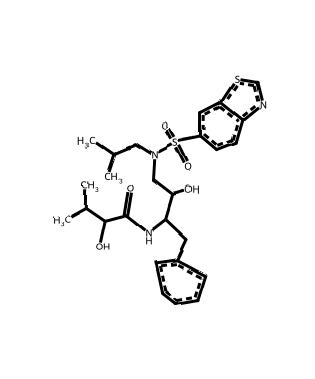 CC(C)CN(CC(O)C(Cc1ccccc1)NC(=O)C(O)C(C)C)S(=O)(=O)c1ccc2ncsc2c1